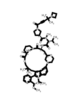 CCn1c(-c2cccnc2[C@H](C)OC)c2c3cc(ccc31)N1CCO[C@@H](C[C@H](NC(=O)[C@H](C(C)C)N(C)C(=O)[C@H]3CCN(C(=O)C#CC(C)(C)N4CCC4)C3)C(=O)N3CCC[C@H](N3)C(=O)OCC(C)(C)C2)C1